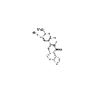 CCCCOc1cc2c(cc1OC)CCn1c-2cc2ccc3c(c2c1=O)OCO3